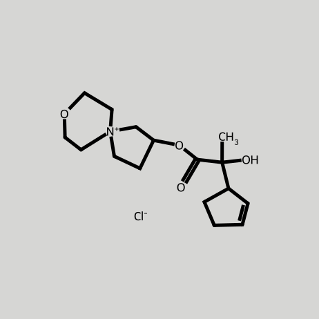 CC(O)(C(=O)OC1CC[N+]2(CCOCC2)C1)C1C=CCC1.[Cl-]